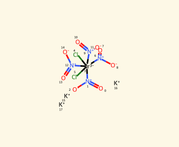 O=[N+]([O-])[Ir-3]([Cl])([Cl])([N+](=O)[O-])([N+](=O)[O-])[N+](=O)[O-].[K+].[K+].[K+]